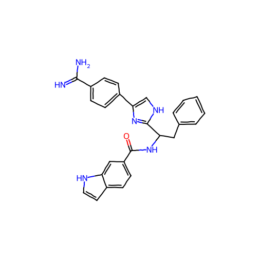 N=C(N)c1ccc(-c2c[nH]c(C(Cc3ccccc3)NC(=O)c3ccc4cc[nH]c4c3)n2)cc1